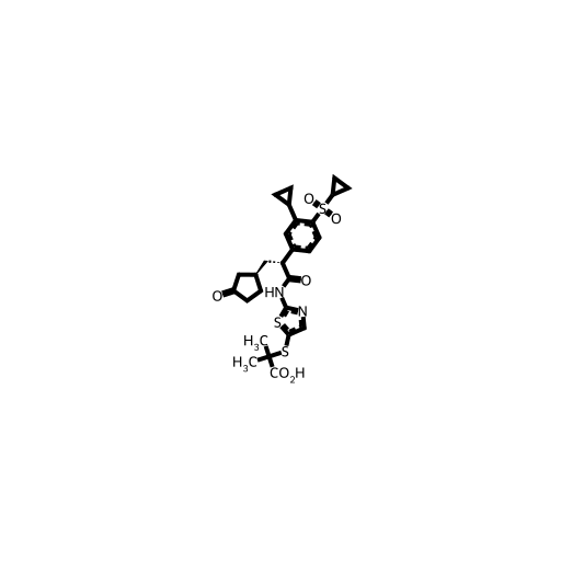 CC(C)(Sc1cnc(NC(=O)[C@H](C[C@H]2CCC(=O)C2)c2ccc(S(=O)(=O)C3CC3)c(C3CC3)c2)s1)C(=O)O